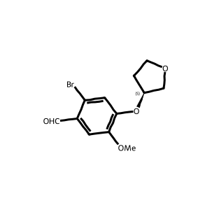 COc1cc(C=O)c(Br)cc1O[C@H]1CCOC1